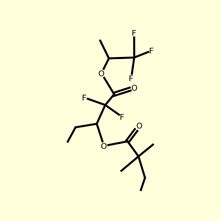 CCC(OC(=O)C(C)(C)CC)C(F)(F)C(=O)OC(C)C(F)(F)F